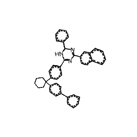 c1ccc(-c2ccc(C3(c4ccc(C5=NC(c6ccc7ccccc7c6)=NC(c6ccccc6)N5)cc4)CCCCC3)cc2)cc1